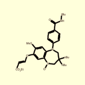 CCCCC1(CCCC)CN(c2ccc(C(=O)NC(C)(C)C)cc2)c2cc(SC)c(O/C=C/C(=O)OCC)cc2[S+]([O-])C1